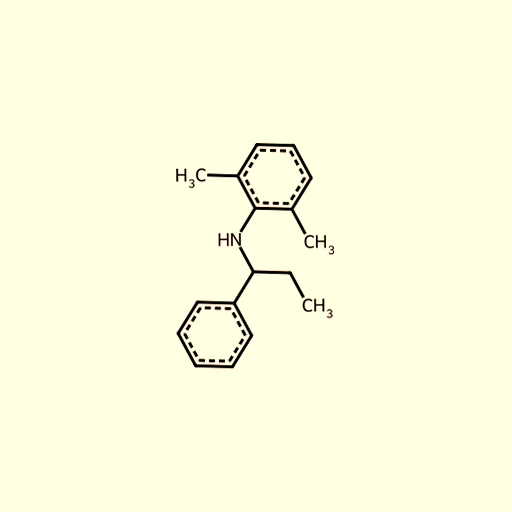 CCC(Nc1c(C)cccc1C)c1ccccc1